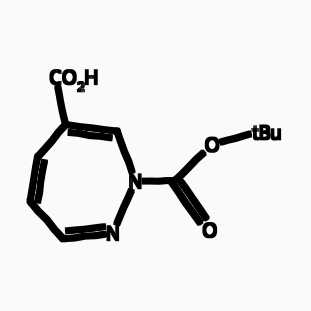 CC(C)(C)OC(=O)N1C=C(C(=O)O)C=CC=N1